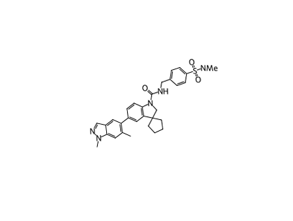 CNS(=O)(=O)c1ccc(CNC(=O)N2CC3(CCCC3)c3cc(-c4cc5cnn(C)c5cc4C)ccc32)cc1